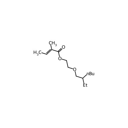 CC=C(C)C(=O)OCCOCC(CC)CCCC